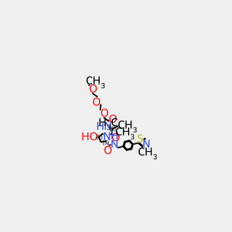 CCOCCOCCOCC(=O)N[C@H](C(=O)N1C[C@H](O)C[C@H]1C(=O)NCc1ccc(-c2scnc2C)cc1)C(C)(C)C